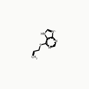 C=CCSc1ncnc2c1NC=[N+]2